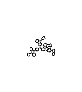 C1=CC2c3ccccc3C3(c4cc(-c5cccc6ccccc56)ccc4-c4ccc(N(c5ccc(-c6c7ccccc7c(-c7ccccc7)c7ccccc67)cc5)c5ccc6c(c5)c5ccccc5n6-c5ccccc5)cc43)C2C=C1